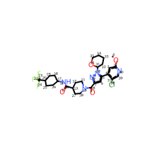 COc1cc(-c2cc(C(=O)N3CCC(C(=O)NC4CCC(C(F)(F)F)CC4)CC3)nn2C2CCCCO2)c(Cl)cn1